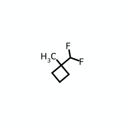 CC1(C(F)F)CCC1